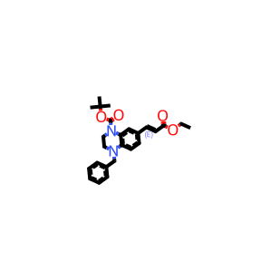 CCOC(=O)/C=C/c1ccc2c(c1)N(C(=O)OC(C)(C)C)CCN2Cc1ccccc1